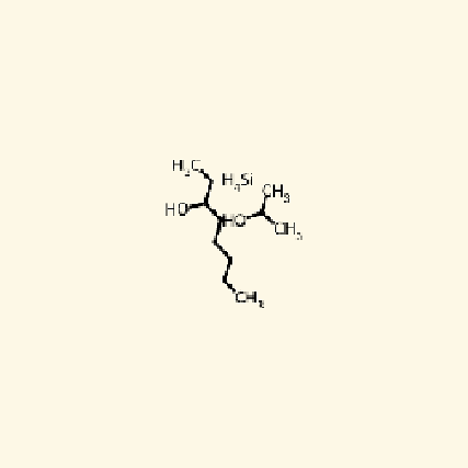 CC(C)O.CCCCCC(O)CC.[SiH4]